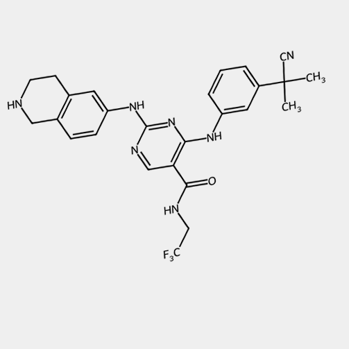 CC(C)(C#N)c1cccc(Nc2nc(Nc3ccc4c(c3)CCNC4)ncc2C(=O)NCC(F)(F)F)c1